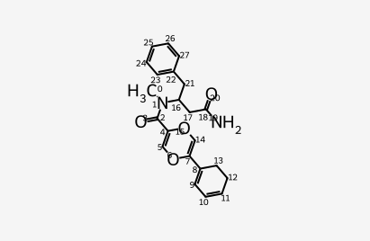 CN(C(=O)C1=COC(C2=CC=CCC2)=CO1)C(CC(N)=O)Cc1ccccc1